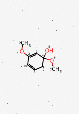 COC1=CC(O)(OC)CC=C1